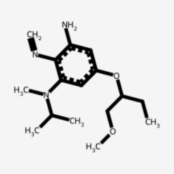 C=Nc1c(N)cc(OC(CC)COC)cc1N(C)C(C)C